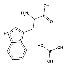 NC(Cc1c[nH]c2ccccc12)C(=O)O.OB(O)O